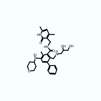 CCN(c1cc(-c2ccccc2)c(CNCC(O)CO)c(C(=O)NCc2c(C)cc(C)[nH]c2=O)c1C)C1CCOCC1